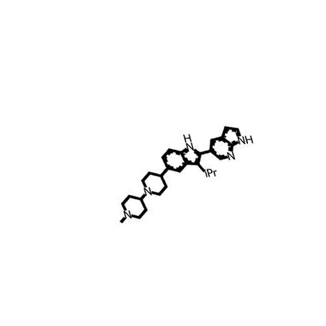 CC(C)c1c(-c2cnc3[nH]ccc3c2)[nH]c2ccc(C3CCN(C4CCN(C)CC4)CC3)cc12